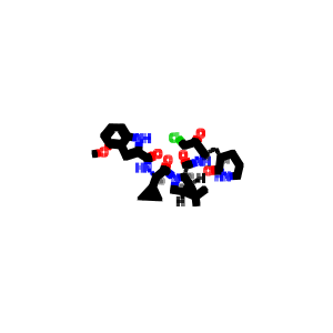 COc1cccc2[nH]c(C(=O)N[C@H](C(=O)N3C[C@H]4[C@@H]([C@H]3C(=O)N[C@@H](C[C@@H]3CCCNC3=O)C(=O)CCl)C4(C)C)C3CC3)cc12